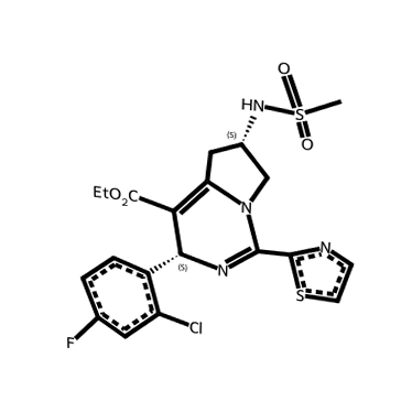 CCOC(=O)C1=C2C[C@H](NS(C)(=O)=O)CN2C(c2nccs2)=N[C@@H]1c1ccc(F)cc1Cl